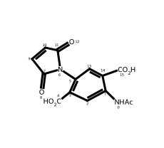 CC(=O)Nc1cc(C(=O)O)c(N2C(=O)C=CC2=O)cc1C(=O)O